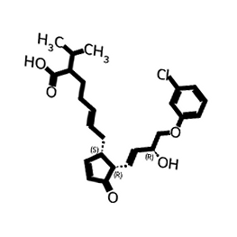 CC(C)C(CCC=CC[C@H]1C=CC(=O)[C@H]1C=C[C@@H](O)COc1cccc(Cl)c1)C(=O)O